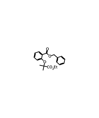 CCOC(=O)C(C)(C)Oc1ccccc1C(=O)OCc1ccccc1